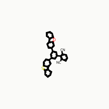 N#Cc1cccc(C#N)c1-c1cc(-c2ccc3c(c2)oc2ccccc23)cc(-c2ccc3sc4ccccc4c3c2)c1